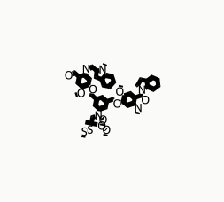 C=Nc1cc(OCc2cc(COc3cc(/N=C\C4Cc5ccccc5N4C)c(C=O)cc3OC)cc(N(CC(C)(C)SSC)OOOC)c2)c(OC)cc1C(=O)N1CCC2=CCCC=C21